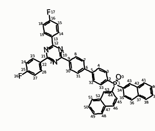 O=P(c1ccc(-c2ccc(-c3nc(-c4ccc(F)cc4)nc(-c4ccc(F)cc4)n3)cc2)cc1)(c1ccc2ccccc2c1)c1ccc2ccccc2c1